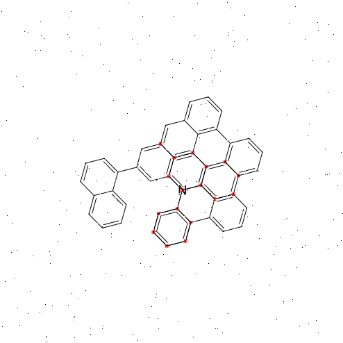 C1=CC(N(c2cccc(-c3cccc4ccccc34)c2)c2ccccc2-c2cccc3cccc(-c4ccccc4)c23)=C(c2ccccc2-c2ccccc2-c2ccccc2)CC1